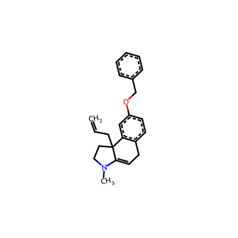 C=CCC12CCN(C)C1=CCc1ccc(OCc3ccccc3)cc12